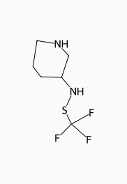 FC(F)(F)SNC1CCCNC1